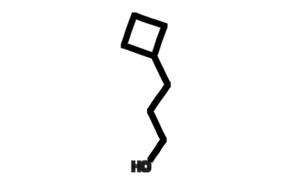 OCCCC1CCC1